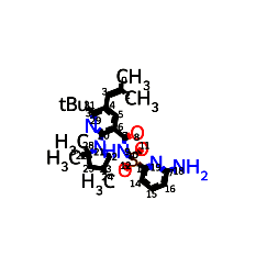 CC(C)=Cc1cc(C(=O)NS(=O)(=O)c2cccc(N)n2)c(N2CC(C)CC2(C)C)nc1C(C)(C)C